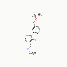 CC(C)(C)[Si](C)(C)OCc1cccc(-c2cccc(CNC(=O)O)c2F)c1